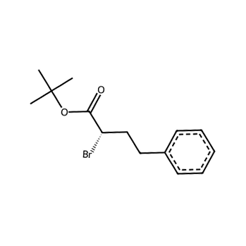 CC(C)(C)OC(=O)[C@@H](Br)CCc1ccccc1